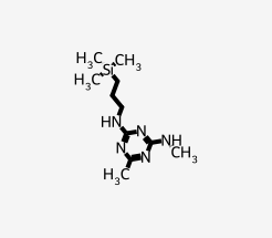 CNc1nc(C)nc(NCCC[Si](C)(C)C)n1